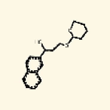 OC(CCOC1CCCCO1)c1ccc2ccccc2c1